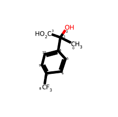 CC(O)(C(=O)O)c1ccc(C(F)(F)F)cc1